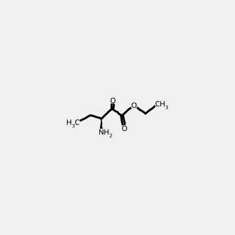 CCOC(=O)C(=O)[C@@H](N)CC